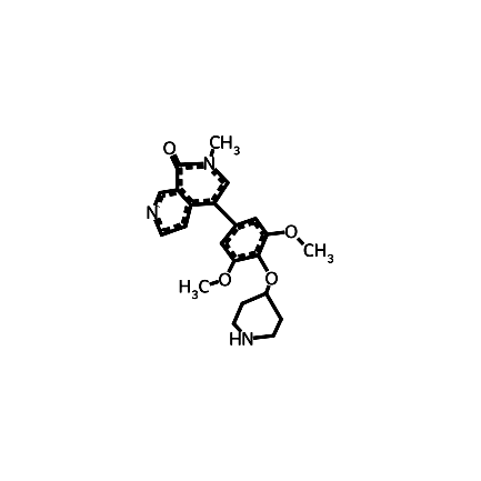 COc1cc(-c2cn(C)c(=O)c3cnccc23)cc(OC)c1OC1CCNCC1